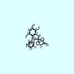 Cc1cc(C)c(C)c(CC2(Cn3ccnc3)OCC(C)O2)c1C